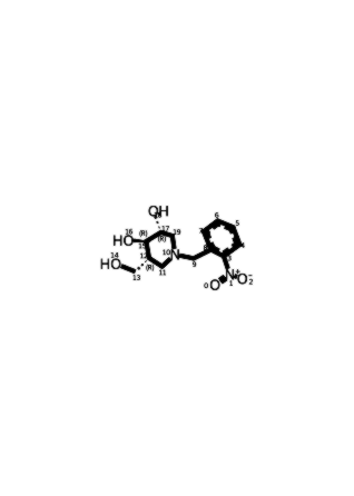 O=[N+]([O-])c1ccccc1CN1C[C@H](CO)[C@@H](O)[C@H](O)C1